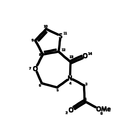 COC(=O)CN1CCOc2ccsc2C1=O